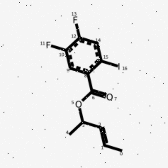 CC=CC(C)OC(=O)c1cc(F)c(F)cc1I